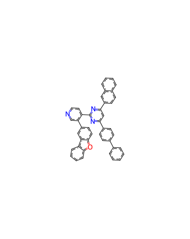 c1ccc(-c2ccc(-c3cc(-c4ccc5ccccc5c4)nc(-c4ccncc4-c4ccc5oc6ccccc6c5c4)n3)cc2)cc1